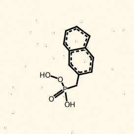 O=P(O)(Cc1ccc2ccccc2c1)OO